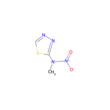 CN(c1nncs1)[N+](=O)[O-]